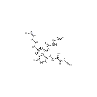 C#CCNC(=O)OCc1cnc(C)c(OC(=O)CCC/C=C\C)c1COC(=O)NCC#C